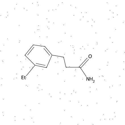 CCc1cccc(CCC(N)=O)c1